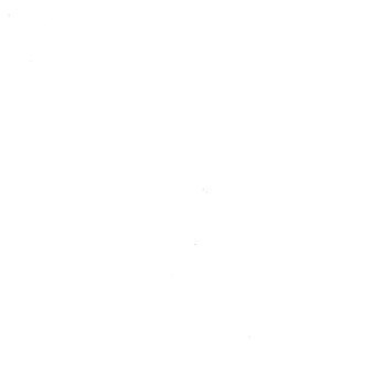 CC(C)(C)c1cccc(C=CCS(=O)(=O)n2c(C(C)(O)c3ccc(C(=O)O)s3)cc3cc(C(F)(F)F)ccc32)c1